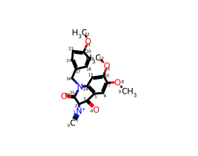 [C-]#[N+]C1C(=O)c2cc(OC)c(OC)cc2N(Cc2ccc(OC)cc2)C1=O